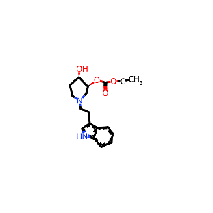 CCOC(=O)O[C@H]1CN(CCc2c[nH]c3ccccc23)CC[C@H]1O